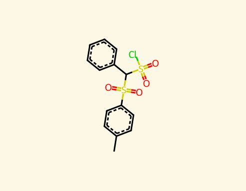 Cc1ccc(S(=O)(=O)C(c2ccccc2)S(=O)(=O)Cl)cc1